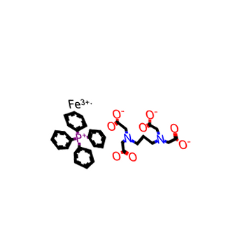 O=C([O-])CN(CCCN(CC(=O)[O-])CC(=O)[O-])CC(=O)[O-].[Fe+3].c1ccc([P+](c2ccccc2)(c2ccccc2)c2ccccc2)cc1